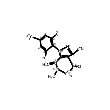 C=[N+](c1c(P(Cl)Cl)c(C#N)nn1-c1c(Cl)cc(C(F)(F)F)cc1Cl)N(C)C